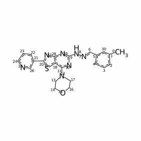 Cc1cccc(/C=N/Nc2nc(N3CCOCC3)c3sc(-c4cccnc4)nc3n2)c1